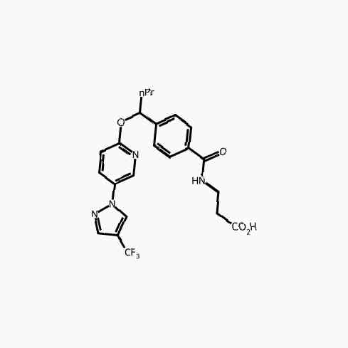 CCCC(Oc1ccc(-n2cc(C(F)(F)F)cn2)cn1)c1ccc(C(=O)NCCC(=O)O)cc1